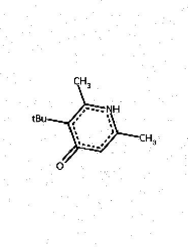 Cc1cc(=O)c(C(C)(C)C)c(C)[nH]1